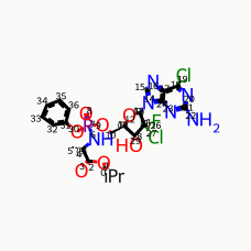 CC(C)OC(=O)[C@H](C)NP(=O)(OC[C@H]1O[C@@H](n2cnc3c(Cl)nc(N)nc32)[C@@](F)(Cl)C1O)Oc1ccccc1